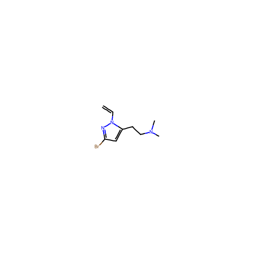 C=Cn1nc(Br)cc1CCN(C)C